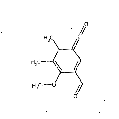 COC1=C(C)C(C)C(=C=O)C=C1C=O